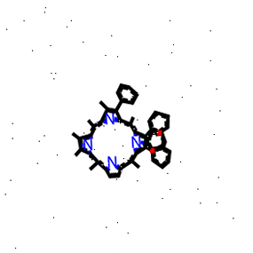 CC1=C(c2ccccc2)c2nc1c(C)c1c(C)c(C)c(c(C)c3nc(c(C)c4c(-c5ccccc5)c(-c5ccccc5)c(c2C)n4-c2ccccc2)C=C3)n1C